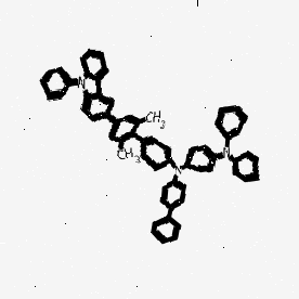 Cc1cc(-c2ccc3c(c2)c2ccccc2n3-c2ccccc2)cc(C)c1-c1ccc(N(c2ccc(-c3ccccc3)cc2)c2ccc(N(c3ccccc3)c3ccccc3)cc2)cc1